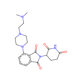 CN(C)CCN1CCN(c2cccc3c2C(=O)N(C2CCC(=O)NC2=O)C3=O)CC1